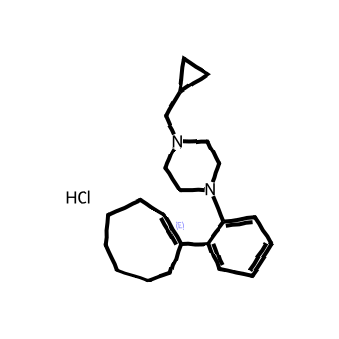 C1=C(/c2ccccc2N2CCN(CC3CC3)CC2)CCCCCC/1.Cl